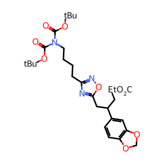 CCOC(=O)CC(Cc1nc(CCCCN(C(=O)OC(C)(C)C)C(=O)OC(C)(C)C)no1)c1ccc2c(c1)OCO2